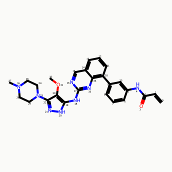 C=CC(=O)Nc1cccc(-c2cccc3cnc(Nc4[nH]nc(N5CCN(C)CC5)c4OC)nc23)c1